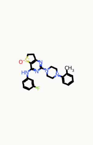 Cc1ccccc1N1CCN(c2nc3c(c(Nc4cccc(F)c4)n2)[S+]([O-])CC3)CC1